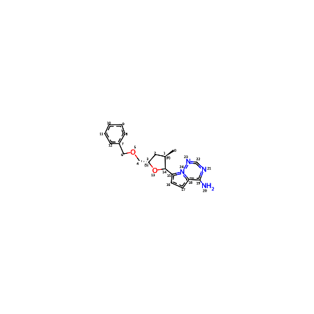 C[C@@H]1C[C@@H](COCc2ccccc2)OC1c1ccc2c(N)ncnn12